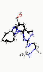 C[C@@H]1CN(c2ncc3cc(C=O)c4nc5ccccc5n4c3n2)C[C@H](C)N1